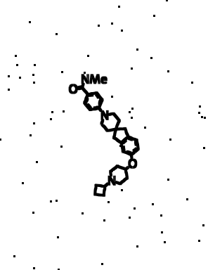 CNC(=O)c1ccc(N2CCC3(CC2)Cc2ccc(OC4CCN(C5CCC5)CC4)cc2C3)cc1